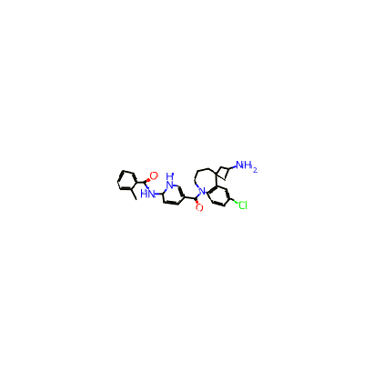 Cc1ccccc1C(=O)NC1C=CC(C(=O)N2CCCC3(CC(N)C3)c3cc(Cl)ccc32)=CN1